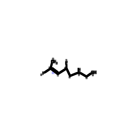 C/C(F)=C\C(F)CNCO